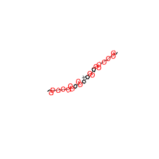 C=CC(=O)OCCOCCOCCOC(=O)Oc1ccc(C(=O)Oc2ccc3c(c2)C(C)(C)c2cc(OC(=O)c4ccc(OC(=O)OCCOCCOCCOC(=O)C=C)cc4)ccc2-3)cc1